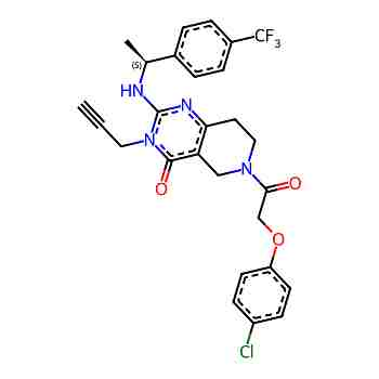 C#CCn1c(N[C@@H](C)c2ccc(C(F)(F)F)cc2)nc2c(c1=O)CN(C(=O)COc1ccc(Cl)cc1)CC2